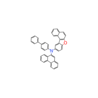 c1ccc(-c2ccc(N(c3ccc4oc5ccc6ccccc6c5c4c3)c3cc4ccccc4c4ccccc34)cc2)cc1